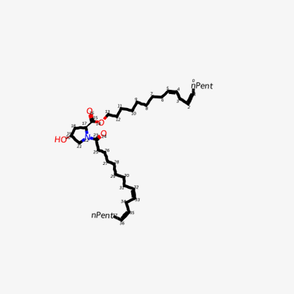 CCCCC/C=C\C/C=C\CCCCCCCCOC(=O)[C@@H]1C[C@@H](O)CN1C(=O)CCCCCCC/C=C\C/C=C\CCCCC